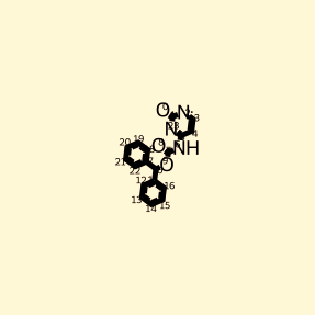 O=C1[N]C=CC(NC(=O)OC(c2ccccc2)c2ccccc2)=N1